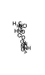 Cn1nc(C(=O)Nc2cccc(Oc3ccc4nc(NC(=O)C5CC5)nn4c3)c2)c2ccccc21